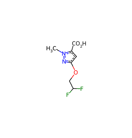 Cn1nc(OCC(F)F)cc1C(=O)O